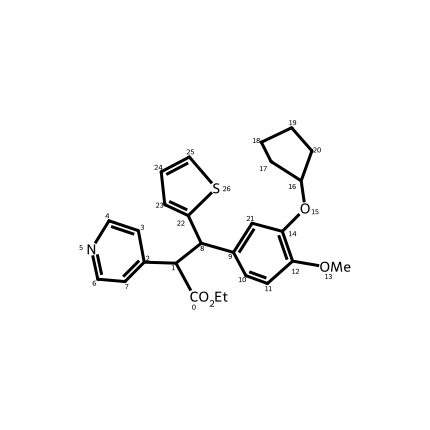 CCOC(=O)C(c1ccncc1)C(c1ccc(OC)c(OC2CCCC2)c1)c1cccs1